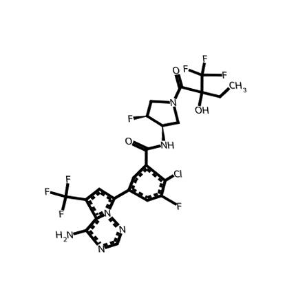 CCC(O)(C(=O)N1C[C@H](F)[C@H](NC(=O)c2cc(-c3cc(C(F)(F)F)c4c(N)ncnn34)cc(F)c2Cl)C1)C(F)(F)F